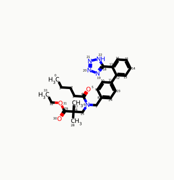 CCCCC(=O)N(Cc1ccc(-c2ccccc2-c2nnn[nH]2)cc1)CC(C)(C)C(=O)OCC